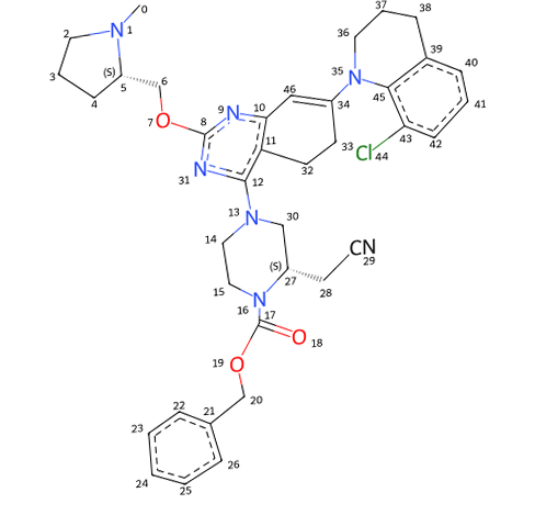 CN1CCC[C@H]1COc1nc2c(c(N3CCN(C(=O)OCc4ccccc4)[C@@H](CC#N)C3)n1)CCC(N1CCCc3cccc(Cl)c31)=C2